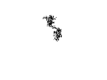 COC(=O)NC(C(=O)N1CCCC1c1nc2ccc(-c3ccc(C#Cc4ccc5nc(C6CCCN6C(=O)C(NC(=O)CO)C(C)C)[nH]c5c4)cc3)cc2[nH]1)C(C)C